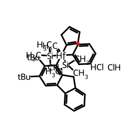 Cl.Cl.[CH2]=[Hf]([C]1=CC=CC1)([c]1ccccc1)([c]1c2c(cc(C(C)(C)C)c1C(C)(C)C)-c1ccccc1C2)([Si](C)(C)C)[Si](C)(C)C